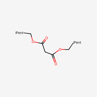 CCCC(C)COC(=O)CC(=O)OCC(C)CCC